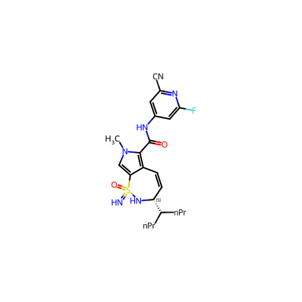 CCCC(CCC)[C@H]1C=Cc2c(cn(C)c2C(=O)Nc2cc(F)nc(C#N)c2)S(=N)(=O)N1